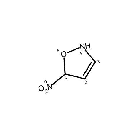 O=[N+]([O-])C1[C]=CNO1